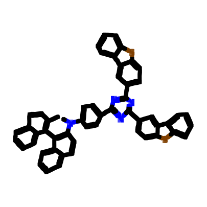 Cc1ccc2ccccc2c1-c1c(N(C)c2ccc(-c3nc(-c4ccc5sc6ccccc6c5c4)nc(-c4ccc5sc6ccccc6c5c4)n3)cc2)ccc2ccccc12